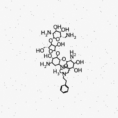 CN(CCc1ccccc1)C[C@H]1O[C@H](O[C@H]2[C@H](O[C@@H]3O[C@H](CO)[C@@H](O[C@H]4O[C@@H](CN)[C@@H](O)[C@H](O)[C@H]4N)[C@H]3O)[C@@H](O)[C@H](N)C[C@@H]2N)[C@H](N)[C@@H](O)[C@@H]1O